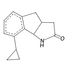 O=C1CC2Cc3cccc(C4CC4)c3C2N1